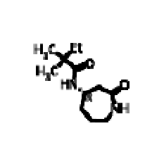 CCC(C)(C)C(=O)N[C@H]1CCCNC(=O)C1